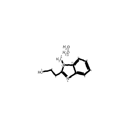 Cn1c(CCO)nc2ccccc21.O.O